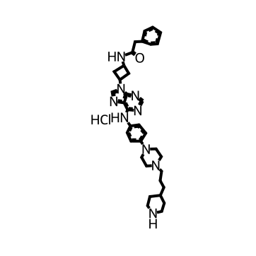 Cl.O=C(Cc1ccccc1)NC1CC(n2cnc3c(Nc4ccc(N5CCN(CCCC6CCNCC6)CC5)cc4)ncnc32)C1